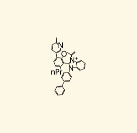 C=C(C)[n+]1c(-c2c(CCC)ccc3c2oc2nc(C)ccc23)n(-c2ccc(-c3ccccc3)cc2)c2ccccc21